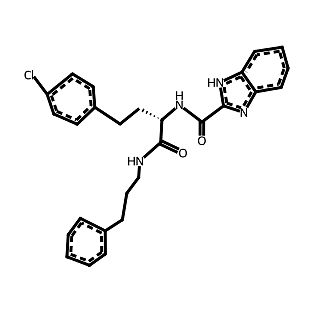 O=C(N[C@@H](CCc1ccc(Cl)cc1)C(=O)NCCCc1ccccc1)c1nc2ccccc2[nH]1